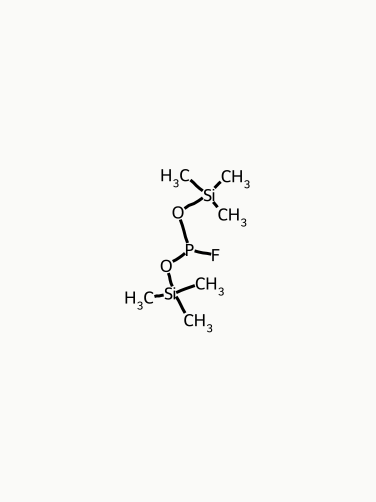 C[Si](C)(C)OP(F)O[Si](C)(C)C